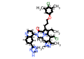 C=Cc1c(CCCOc2cc(C)c(Cl)c(C)c2)c2n(c1/C(=C/Cl)c1c(C)nn(C)c1C)[C@H](C)CN(c1ccnc3ccc(-c4nn[nH]n4)cc13)C2=O